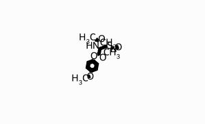 COc1ccc(OC(=O)[C@H](NC(C)=O)C(C)(C)SN=O)cc1